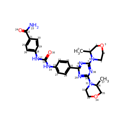 CC1COCCN1c1nc(-c2ccc(NC(=O)Nc3ccc(C(N)=O)cc3)cc2)nc(N2CCOCC2C)n1